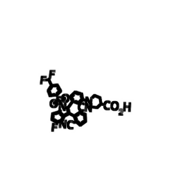 N#Cc1cccc(C#N)c1-c1c(-c2cccc(N3CCC(C(=O)O)CC3)c2)n(S(=O)(=O)c2ccc(C(F)F)cc2)c2ccc(F)cc12